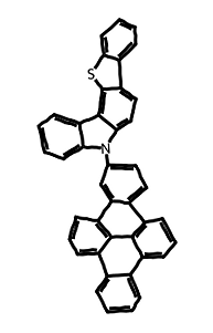 c1ccc2c(c1)sc1c2ccc2c1c1ccccc1n2-c1ccc2c(c1)c1cccc3c4ccccc4c4cccc2c4c31